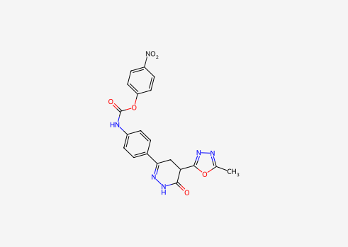 Cc1nnc(C2CC(c3ccc(NC(=O)Oc4ccc([N+](=O)[O-])cc4)cc3)=NNC2=O)o1